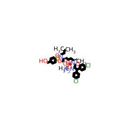 CC[C@@H](CCC[C@@H](CO)N(CCC(C)C)S(=O)(=O)c1ccc(CO)cc1)N(C(=O)OC)C(=O)[C@@H](N)C(c1ccc(Cl)cc1)c1ccc(Cl)cc1